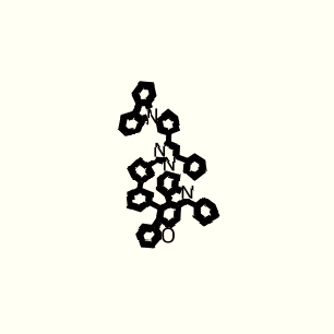 c1ccc(-c2cc(-c3cccc(-n4c5ccccc5c5ccccc54)c3)nc(-c3cccc(-c4cccc(-c5c6c(cc7c(-c8ccccc8)nc8ccccc8c57)oc5ccccc56)c4)c3)n2)cc1